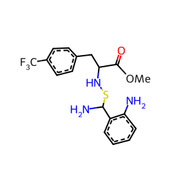 COC(=O)C(Cc1ccc(C(F)(F)F)cc1)NSC(N)c1ccccc1N